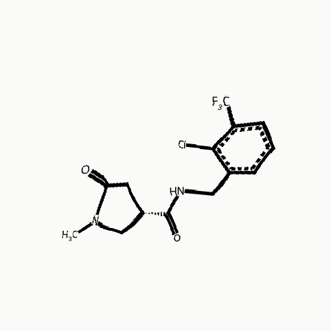 CN1C[C@@H](C(=O)NCc2cccc(C(F)(F)F)c2Cl)CC1=O